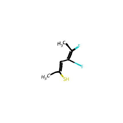 C/C(S)=C/C(F)=C(\C)F